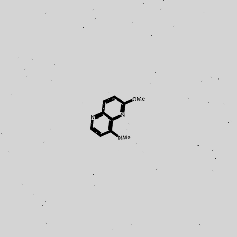 CNc1ccnc2ccc(OC)nc12